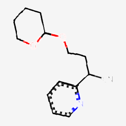 N#CC(CCOC1CCCCO1)c1ccccn1